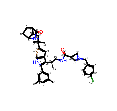 Cc1cc(C)cc(-c2[nH]c3sc(C(C)(C)CC4C5CCC4C(=O)N5)cc3c2[C@H](C)CNC(=O)C2CN(Cc3ccc(F)cc3)C2)c1